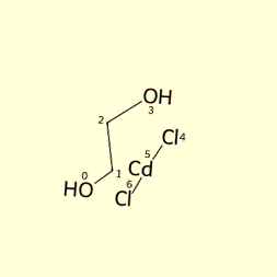 OCCO.[Cl][Cd][Cl]